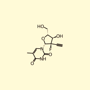 C#C[C@@]1(F)[C@H](O)[C@@H](CO)O[C@H]1n1cc(C)c(=O)[nH]c1=O